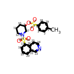 Cc1ccc(S(=O)(=O)OC2CCCN(S(=O)(=O)c3cccc4cnccc34)C2)cc1